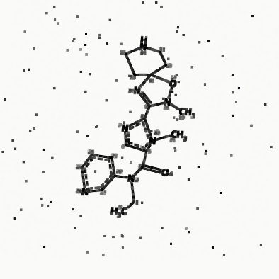 CCN(C(=O)c1cnc(C2=NC3(CCNCC3)ON2C)n1C)c1cccnc1